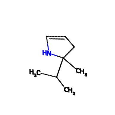 CC(C)C1(C)CC=CN1